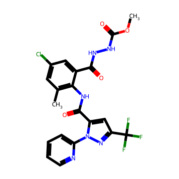 COC(=O)NNC(=O)c1cc(Cl)cc(C)c1NC(=O)c1cc(C(F)(F)F)nn1-c1ccccn1